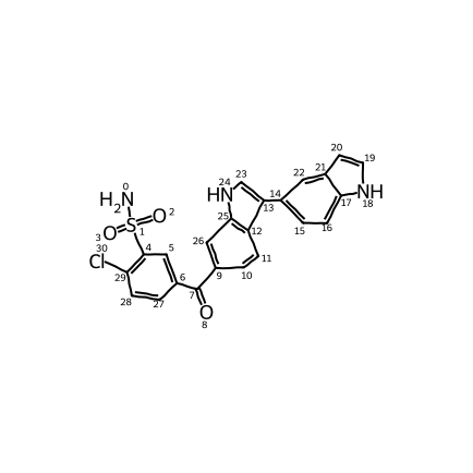 NS(=O)(=O)c1cc(C(=O)c2ccc3c(-c4ccc5[nH]ccc5c4)c[nH]c3c2)ccc1Cl